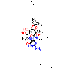 CNc1c(N[C@@H]2OC(CO)[C@@H](O)C3OC(C)(C)OC3[C@@]2(C)O)nc(N)[nH]c1=O